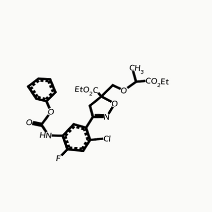 CCOC(=O)C(C)OCC1(C(=O)OCC)CC(c2cc(NC(=O)Oc3ccccc3)c(F)cc2Cl)=NO1